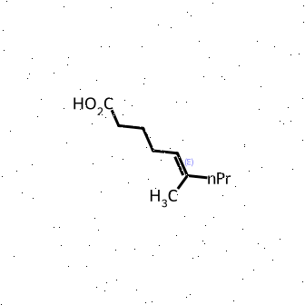 CCC/C(C)=C/CCCC(=O)O